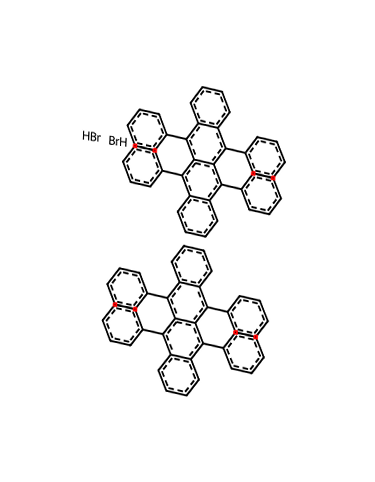 Br.Br.c1ccc(-c2c3ccccc3c(-c3ccccc3)c3c(-c4ccccc4)c4ccccc4c(-c4ccccc4)c23)cc1.c1ccc(-c2c3ccccc3c(-c3ccccc3)c3c(-c4ccccc4)c4ccccc4c(-c4ccccc4)c23)cc1